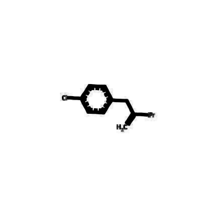 C=C(Cc1ccc(Cl)cc1)C(C)C